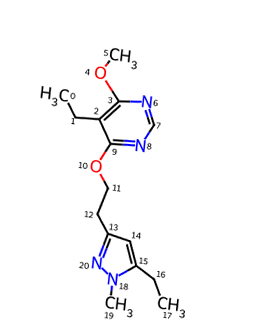 CCc1c(OC)ncnc1OCCc1cc(CC)n(C)n1